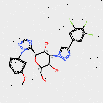 COc1cccc(-n2ncnc2[C@@H]2O[C@H](CO)[C@H](O)[C@H](n3cc(-c4cc(F)c(F)c(F)c4)nn3)[C@H]2O)c1